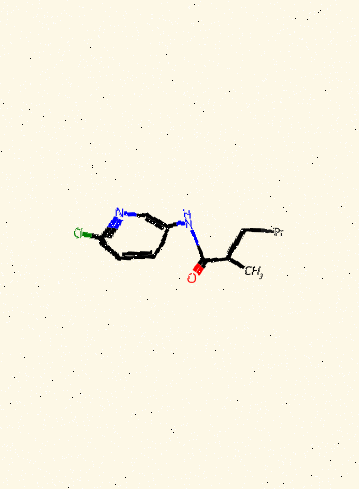 CC(C)CC(C)C(=O)Nc1ccc(Cl)nc1